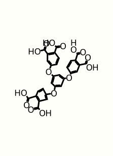 O=C(O)c1ccc(Oc2cc(Oc3ccc(C(=O)O)c(C(=O)O)c3)cc(Oc3ccc(C(=O)O)c(C(=O)O)c3)c2)cc1C(=O)O